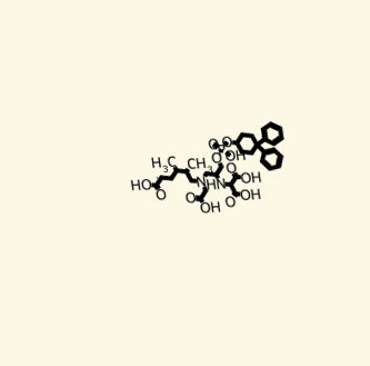 CC(C[CH]C(=O)O)C(C)CN(CC(=O)O)CC(COP(=O)(O)OC1CCC(c2ccccc2)(c2ccccc2)CC1)NC(C(=O)O)C(=O)O